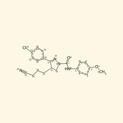 COc1ccc(NC(=O)N2CC(CCCC#N)C(c3ccc(Cl)cc3)=N2)cc1